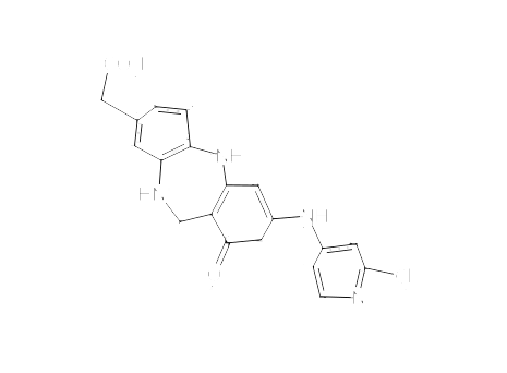 O=C(O)Cc1ccc2c(c1)NCC1=C(C=C(Nc3ccnc(Cl)c3)CC1=O)N2